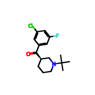 CC(C)(C)N1CCC[C@@H](C(=O)c2cc(F)cc(Cl)c2)C1